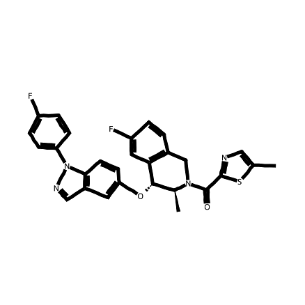 Cc1cnc(C(=O)N2Cc3ccc(F)cc3[C@@H](Oc3ccc4c(cnn4-c4ccc(F)cc4)c3)[C@@H]2C)s1